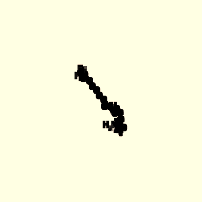 CCCN(OCC)C(=O)C1=Cc2ccc(-c3cccc(S(=O)(=O)N4CC(CNC(=O)CCOCCOCCOCCOCCOCCC(=O)Oc5c(F)c(F)cc(F)c5F)C4)c3)cc2N=C(N)C1